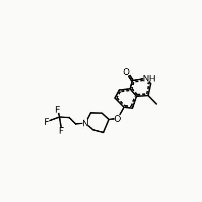 Cc1c[nH]c(=O)c2ccc(OC3CCN(CCC(F)(F)F)CC3)cc12